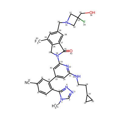 Cn1cnnc1-c1ccc(C#N)cc1-c1cc(NCCC2CC2)nc(N2Cc3c(cc(CN4CC(F)(CO)C4)cc3C(F)(F)F)C2=O)c1